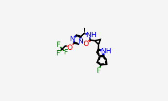 C[C@@H](NC(=O)C1CC1c1cc2cc(F)ccc2[nH]1)c1cnc(OCC(F)(F)F)cn1